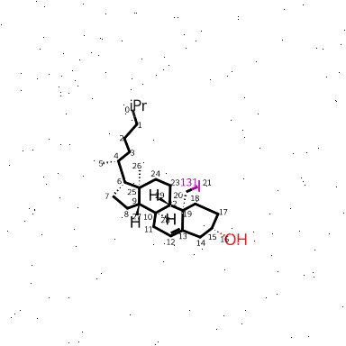 CC(C)CCC[C@@H](C)[C@H]1CC[C@H]2[C@@H]3CC=C4C[C@@H](O)CC[C@]4(C[131I])[C@H]3CC[C@]12C